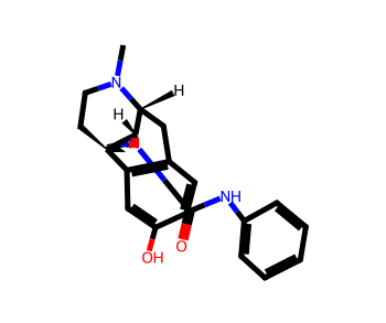 CN1CC[C@]23CCN(C(=O)Nc4ccccc4)C[C@H]2[C@H]1Cc1ccc(O)cc13